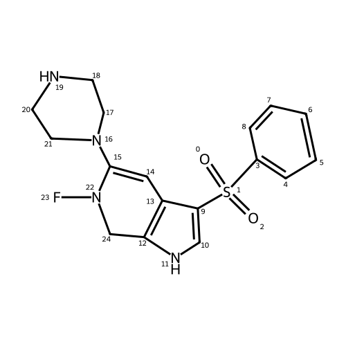 O=S(=O)(c1ccccc1)c1c[nH]c2c1C=C(N1CCNCC1)N(F)C2